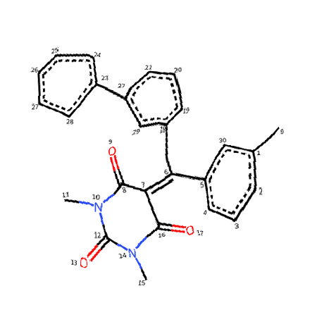 Cc1cccc(C(=C2C(=O)N(C)C(=O)N(C)C2=O)c2cccc(-c3ccccc3)c2)c1